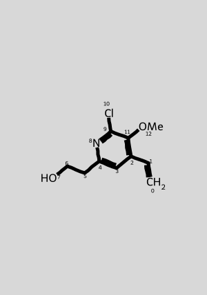 C=Cc1cc(CCO)nc(Cl)c1OC